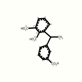 CC(c1cccc(C(=O)O)c1)c1cccc(C(=O)O)c1C(=O)O